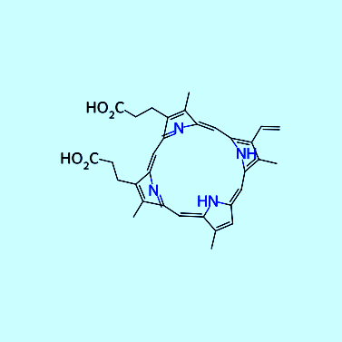 C=Cc1c(C)c2cc3cc(C)c(cc4nc(cc5nc(cc1[nH]2)C(C)=C5CCC(=O)O)C(CCC(=O)O)=C4C)[nH]3